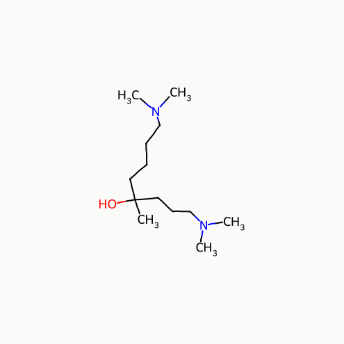 CN(C)CCCCC(C)(O)CCCN(C)C